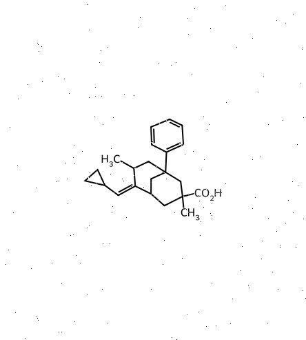 CC1CC2(c3ccccc3)CC(CC(C)(C(=O)O)C2)/C1=C/C1CC1